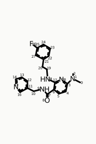 CN(C)c1ccc(C(=O)NCc2cccnc2)c(NCCc2cccc(F)c2)n1